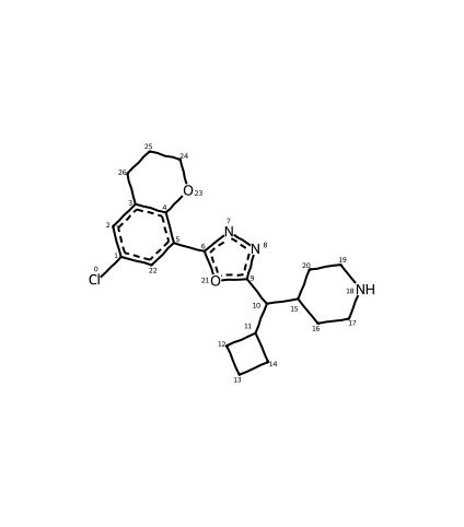 Clc1[c]c2c(c(-c3nnc(C(C4CCC4)C4CCNCC4)o3)c1)OCCC2